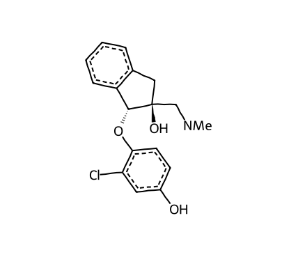 CNC[C@@]1(O)Cc2ccccc2[C@H]1Oc1ccc(O)cc1Cl